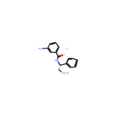 Cl.Nc1cccc(C(=O)N[C@@H](CC(=O)O)c2ccccc2)c1